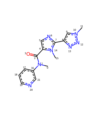 CN(C(=O)c1cnc(-c2cn(C)nn2)n1C)c1cccnc1